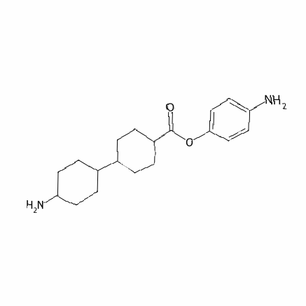 Nc1ccc(OC(=O)C2CCC(C3CCC(N)CC3)CC2)cc1